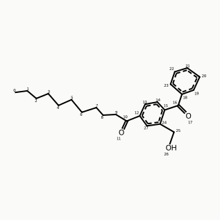 CCCCCCCCCCC(=O)c1ccc(C(=O)c2ccccc2)c(CO)c1